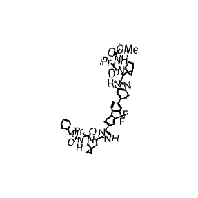 COC(=O)NC(C(=O)N1C2CCC3CC32C1c1nc2ccc(-c3ccc4c(c3)C(F)(F)c3cc(-c5c[nH]c(C6CC7(CC7)CN6C(=O)C(NC(=O)OCc6ccccc6)C(C)C)n5)ccc3-4)cc2[nH]1)C(C)C